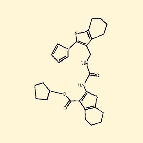 O=C(NCc1c(-n2cccc2)sc2c1CCCC2)Nc1sc2c(c1C(=O)OC1CCCC1)CCCC2